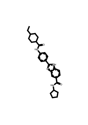 CCC1CCC(C(=O)Nc2ccc(-c3nc4cc(C(=O)NC5CCCC5)ccc4[nH]3)cc2)CC1